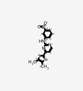 Cc1nc(-c2ccnc(Nc3cccc([N+](=O)[O-])c3)n2)sc1C